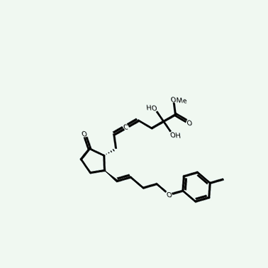 COC(=O)C(O)(O)CC=C=CC[C@H]1C(=O)CC[C@@H]1/C=C/CCOc1ccc(C)cc1